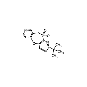 CC(C)(C)c1ccc2c(n1)S(=O)(=O)Cc1cnccc1O2